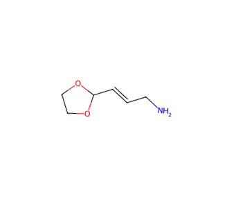 NCC=CC1OCCO1